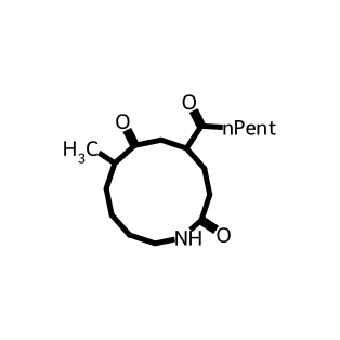 CCCCCC(=O)C1CCC(=O)NCCCCC(C)C(=O)C1